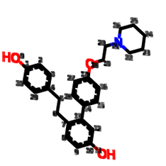 Oc1ccc(CCc2ccc(O)cc2-c2ccc(OCCN3CCCCC3)cc2)cc1